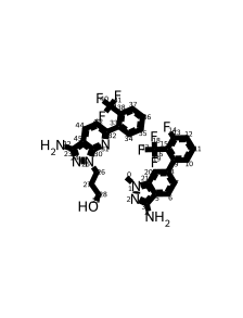 Cn1nc(N)c2ccc(-c3cccc(F)c3C(F)(F)F)cc21.Nc1nn(CCCO)c2nc(-c3ccccc3C(F)(F)F)ccc12